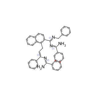 N/C(=N\C(=C/Cc1c(C(/N=C(\N)c2ccccc2)=N/Cc2ccccc2)ccc2ccccc12)c1ccccc1)c1ccccc1